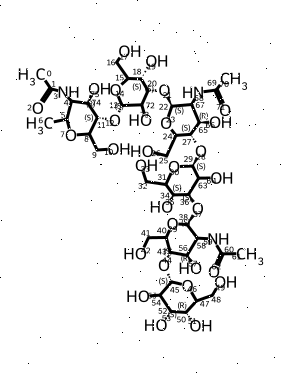 CC(=O)NC1C(C)OC(CO)[C@@H](O[C@@H]2OC(CO)[C@H](O)[C@H](O[C@@H]3OC(CO)[C@@H](O[C@@H]4OC(CO)[C@H](O)[C@H](O[C@@H]5OC(CO)[C@@H](O[C@@H]6OC(CO)[C@H](O)[C@H](O)C6O)[C@H](O)C5NC(C)=O)C4O)[C@H](O)C3NC(C)=O)C2O)[C@@H]1O